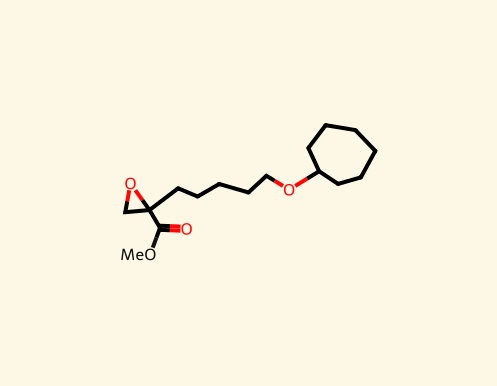 COC(=O)C1(CCCCCOC2CCCCCC2)CO1